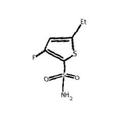 CCc1cc(F)c(S(N)(=O)=O)s1